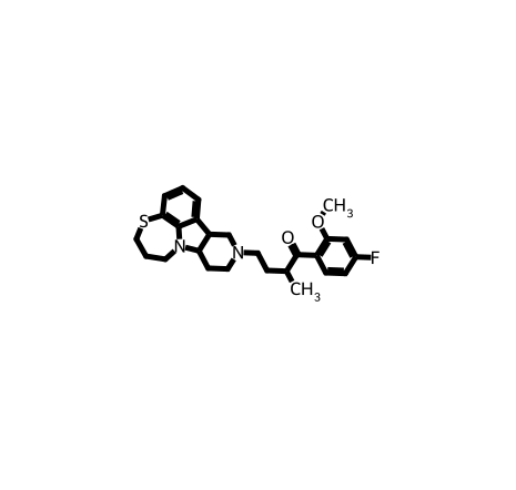 COc1cc(F)ccc1C(=O)C(C)CCN1CCC2C(C1)c1cccc3c1N2CCCS3